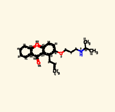 C=CCc1c(OCCCNC(C)C)ccc2oc3ccccc3c(=O)c12